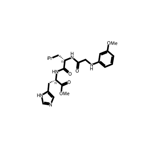 COC(=O)[C@H](Cc1cnc[nH]1)NC(=O)[C@H](CC(C)C)NC(=O)CNc1cccc(OC)c1